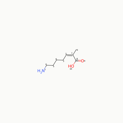 CC(=CCCCCN)C(=O)O